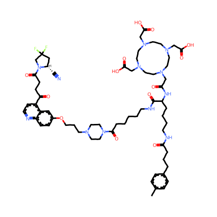 Cc1ccc(CCCC(=O)NCCCCC(NC(=O)CN2CCN(CC(=O)O)CCN(CC(=O)O)CCN(CC(=O)O)CC2)C(=O)NCCCCCC(=O)N2CCN(CCCOc3ccc4nccc(C(=O)CCC(=O)N5CC(F)(F)C[C@@H]5C#N)c4c3)CC2)cc1